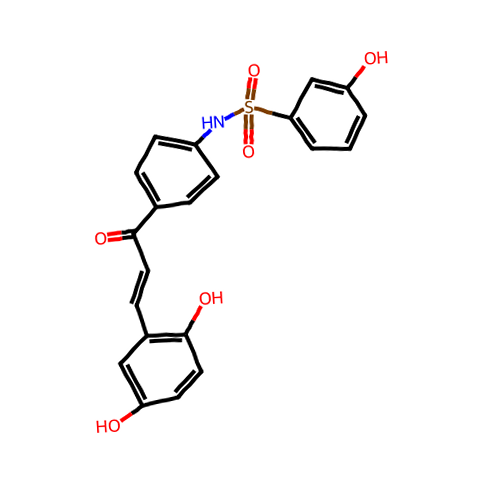 O=C(C=Cc1cc(O)ccc1O)c1ccc(NS(=O)(=O)c2cccc(O)c2)cc1